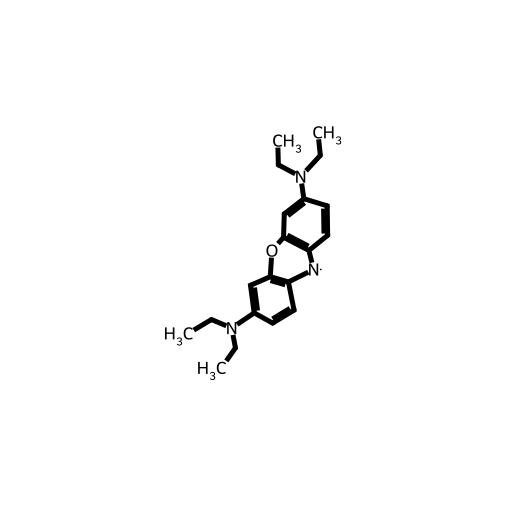 CCN(CC)c1ccc2c(c1)Oc1cc(N(CC)CC)ccc1[N]2